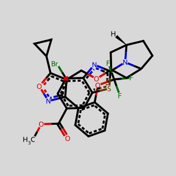 COC(=O)c1cc(Br)c2nc(N3C4CC[C@H]3CC(OCc3c(-c5ccccc5OC(F)(F)F)noc3C3CC3)C4)sc2c1